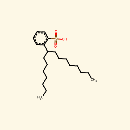 CCCCCCCCC(CCCCCCC)c1ccccc1S(=O)(=O)O